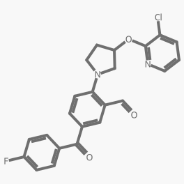 O=Cc1cc(C(=O)c2ccc(F)cc2)ccc1N1CCC(Oc2ncccc2Cl)C1